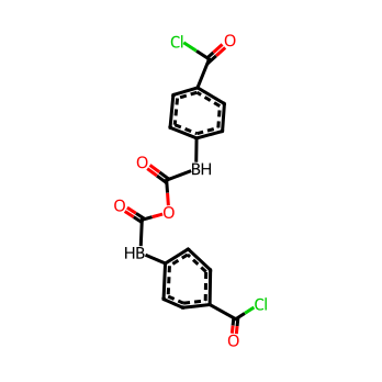 O=C(Bc1ccc(C(=O)Cl)cc1)OC(=O)Bc1ccc(C(=O)Cl)cc1